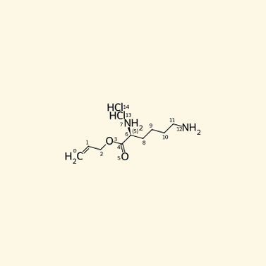 C=CCOC(=O)[C@@H](N)CCCCN.Cl.Cl